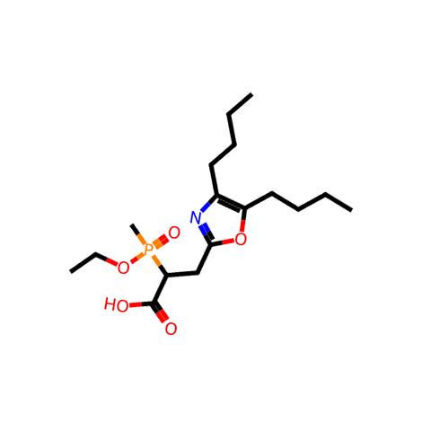 CCCCc1nc(CC(C(=O)O)P(C)(=O)OCC)oc1CCCC